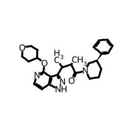 CC(C(=O)N1CCC[C@H](c2ccccc2)C1)C(C)c1n[nH]c2ccnc(OC3CCOCC3)c12